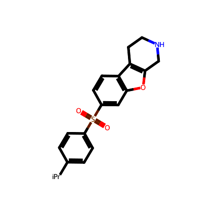 CC(C)c1ccc(S(=O)(=O)c2ccc3c4c(oc3c2)CNCC4)cc1